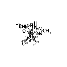 CCONC(=O)c1cnc(Nc2cc(C)nc(C)n2)cc1Nc1ccc(C2CC2)cc1OC1COC1